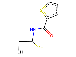 CCC(S)NC(=O)c1cccs1